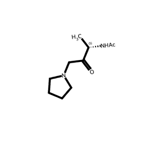 CC(=O)N[C@@H](C)C(=O)CN1CCCC1